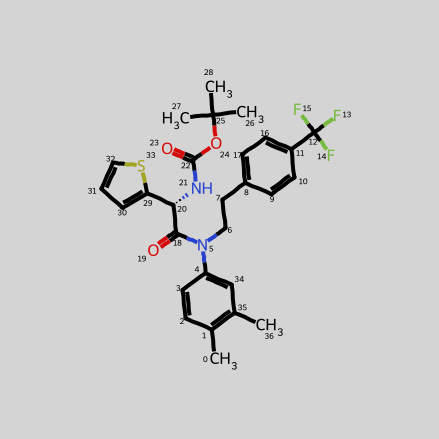 Cc1ccc(N(CCc2ccc(C(F)(F)F)cc2)C(=O)[C@@H](NC(=O)OC(C)(C)C)c2cccs2)cc1C